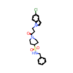 O=C(CCn1ccc2cc(Cl)ccc21)N1CCC(S(=O)(=O)NCc2ccccc2)CC1